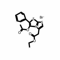 CCOC(=O)Cc1csc2sc(-c3ccccc3)c(OC(C)=O)[n+]12.[Br-]